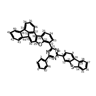 c1ccc(-c2nc(-c3ccc4c(c3)sc3ccccc34)nc(-c3cccc4c3oc3cc5c6c(cccc6c34)-c3ccccc3-5)n2)cc1